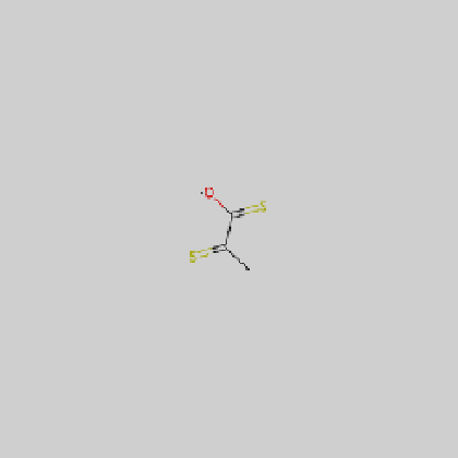 CC(=S)C([O])=S